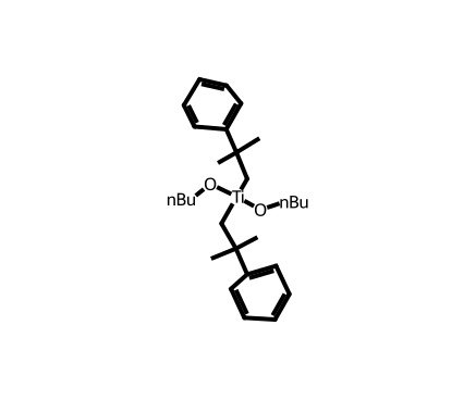 CCCC[O][Ti]([CH2]C(C)(C)c1ccccc1)([CH2]C(C)(C)c1ccccc1)[O]CCCC